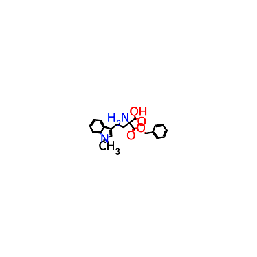 Cn1cc(CCC(N)(C(=O)O)C(=O)OCc2ccccc2)c2ccccc21